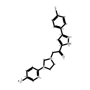 O=C(CN1CCN(c2ccc(C(F)(F)F)cn2)C1)c1cc(-c2ccc(F)cc2)n[nH]1